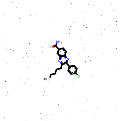 NC(=O)c1ccc2nc(-c3ccc(Cl)cc3)c(CCCCC(=O)O)nc2c1